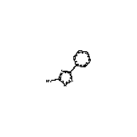 Sc1nnc(-c2ccccc2)s1